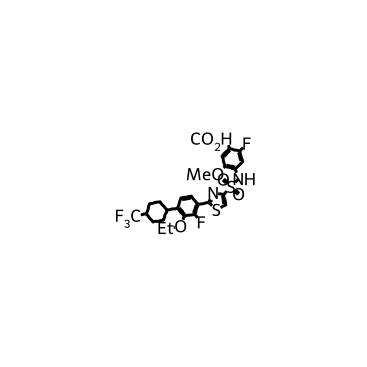 CCOc1c(C2CCC(C(F)(F)F)CC2)ccc(-c2nc(S(=O)(=O)Nc3cc(F)c(C(=O)O)cc3OC)cs2)c1F